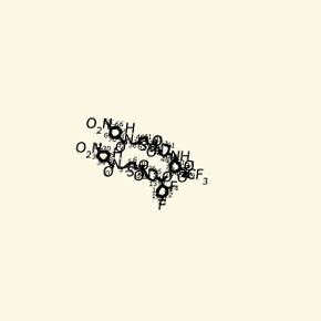 O=C(NCc1ccc(S(=O)(=O)N2CCC(C(=O)c3ccc(F)cc3F)CC2)s1)c1ccc([N+](=O)[O-])cc1.O=C(NCc1ccc(S(=O)(=O)N2CCC(Nc3cccc(S(=O)(=O)C(F)(F)F)c3)CC2)s1)c1ccc([N+](=O)[O-])cc1